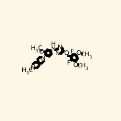 COc1cc(Nc2ncc(OCc3c(F)c(OC)cc(OC)c3F)cn2)ccc1N1CCC2(CCN(C)CC2)CC1